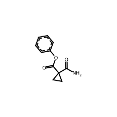 NC(=O)C1(C(=O)Oc2ccccc2)CC1